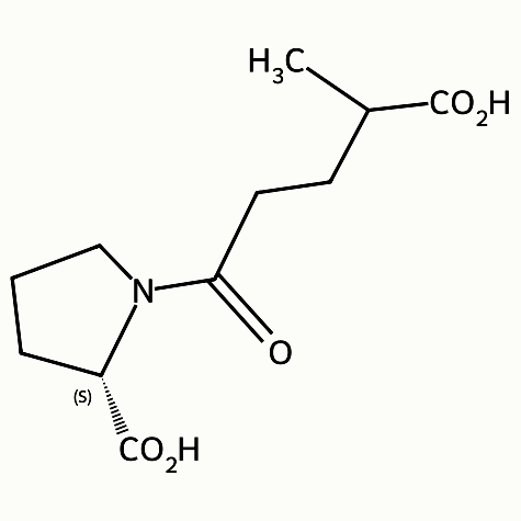 CC(CCC(=O)N1CCC[C@H]1C(=O)O)C(=O)O